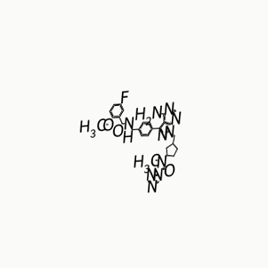 COc1ccc(F)cc1C(=O)NCc1ccc(-c2nn(CC3CCC(N(C)C(=O)n4cncn4)C3)c3ncnc(N)c23)cc1